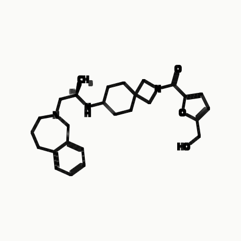 C[C@H](CN1CCCc2ccccc2C1)NC1CCC2(CC1)CN(C(=O)c1ccc(CO)o1)C2